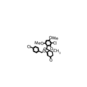 COc1cc(OC)c2c(c1Cl)O[C@]1(C2=O)C(OCc2ccc(Cl)cc2)=CC(=O)C[C@H]1C